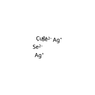 [Ag+].[Ag+].[Cu+2].[Se-2].[Se-2]